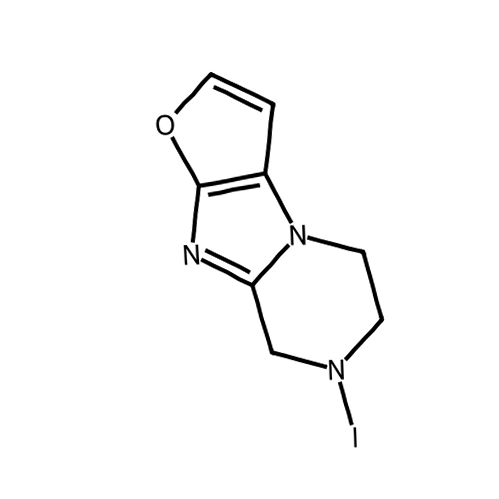 IN1CCn2c(nc3occc32)C1